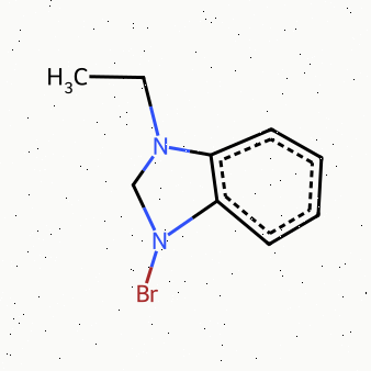 CCN1CN(Br)c2ccccc21